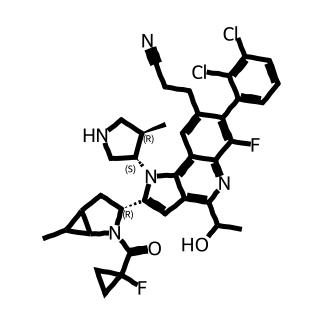 CC(O)c1nc2c(F)c(-c3cccc(Cl)c3Cl)c(CCC#N)cc2c2c1cc([C@H]1CC3C(C)C3N1C(=O)C1(F)CC1)n2[C@@H]1CNC[C@H]1C